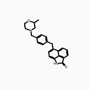 CC1CN(Cc2ccc(Cc3ccc4c5c(cccc35)C(=O)N4)cc2)CCO1